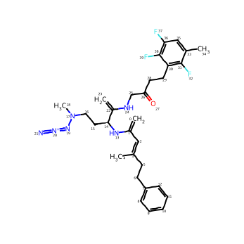 C=C(/C=C(\C)CCc1ccccc1)N[C@@H](CCN(C)N=[N+]=[N-])C(=C)NCC(=O)CCc1c(F)c(C)cc(F)c1F